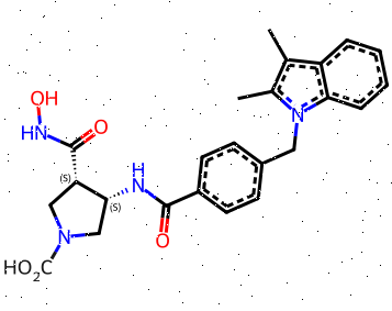 Cc1c(C)n(Cc2ccc(C(=O)N[C@@H]3CN(C(=O)O)C[C@@H]3C(=O)NO)cc2)c2ccccc12